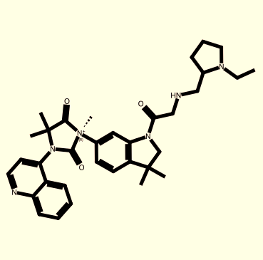 CCN1CCCC1CNCC(=O)N1CC(C)(C)c2ccc([N@@+]3(C)C(=O)N(c4ccnc5ccccc45)C(C)(C)C3=O)cc21